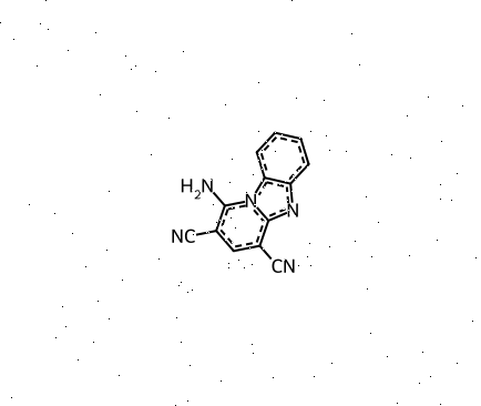 N#Cc1cc(C#N)c2nc3ccccc3n2c1N